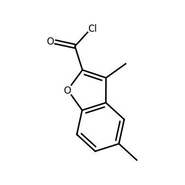 Cc1ccc2oc(C(=O)Cl)c(C)c2c1